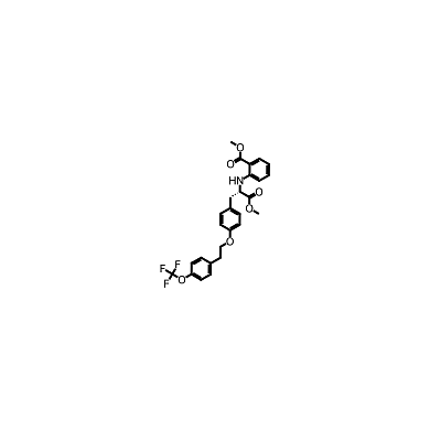 COC(=O)c1ccccc1N[C@@H](Cc1ccc(OCCc2ccc(OC(F)(F)F)cc2)cc1)C(=O)OC